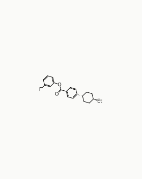 CC[C@H]1CC[C@H](c2ccc(C(=O)Oc3cccc(F)c3)cc2)CC1